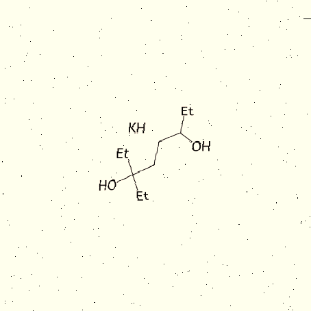 CCC(O)CCC(O)(CC)CC.[KH]